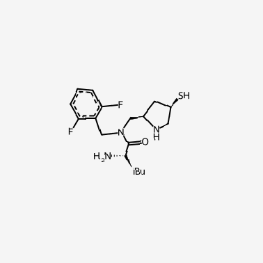 CC[C@H](C)[C@H](N)C(=O)N(Cc1c(F)cccc1F)C[C@H]1C[C@@H](S)CN1